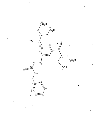 O=C(O)CN(CC(=O)O)C(=O)c1cc(OCC(=O)OCc2ccccc2)cc(C(=O)N(CC(=O)O)CC(=O)O)c1